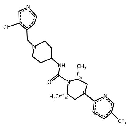 C[C@@H]1CN(c2ncc(C(F)(F)F)cn2)C[C@H](C)N1C(=O)NC1CCN(Cc2ccncc2Cl)CC1